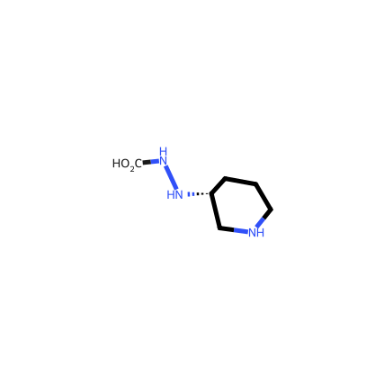 O=C(O)NN[C@@H]1CCCNC1